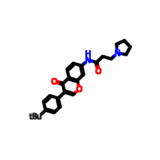 CC(C)(C)c1ccc(-c2coc3cc(NC(=O)CCN4CCCC4)ccc3c2=O)cc1